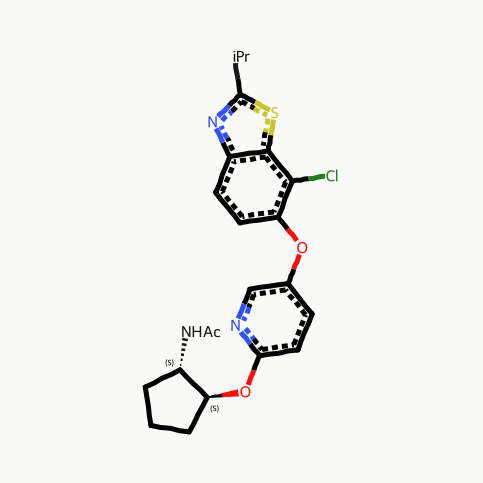 CC(=O)N[C@H]1CCC[C@@H]1Oc1ccc(Oc2ccc3nc(C(C)C)sc3c2Cl)cn1